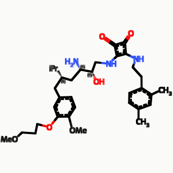 COCCCOc1cc(C[C@@H](C[C@H](N)[C@@H](O)CNc2c(NCCc3ccc(C)cc3C)c(=O)c2=O)C(C)C)ccc1OC